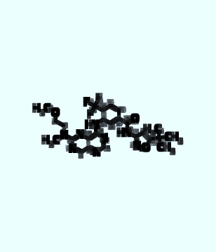 COCCN(C)c1ncc2ncnc(Nc3cc(C(=O)Nc4cc(C(C)(C)C)on4)ccc3C(F)(F)F)c2n1